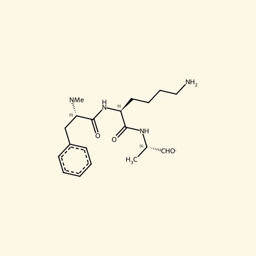 CN[C@@H](Cc1ccccc1)C(=O)N[C@@H](CCCCN)C(=O)N[C@@H](C)[C]=O